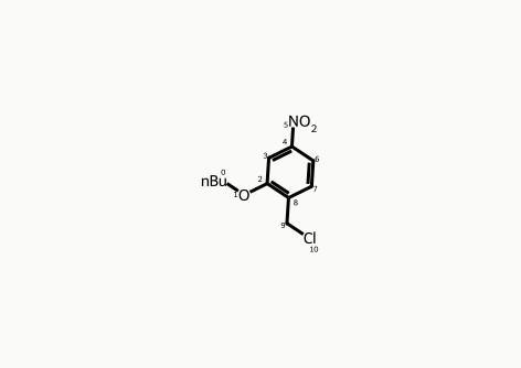 CCCCOc1cc([N+](=O)[O-])ccc1CCl